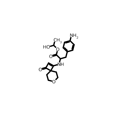 CC(O)OC(=O)C(Cc1ccc(N)cc1)NC1=CC(=O)C12CCOCC2